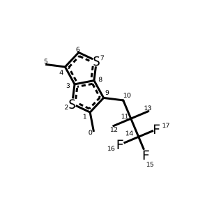 Cc1sc2c(C)csc2c1CC(C)(C)C(F)(F)F